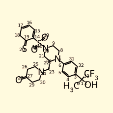 CC(O)(c1ccc(N2CCN(S(=O)(=O)C3=CC=CCC3=S)C[C@@H]2CN2CCC(=O)CC2)cc1)C(F)(F)F